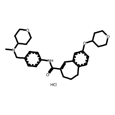 CN(Cc1ccc(NC(=O)C2=Cc3cc(OC4CCOCC4)ccc3CCC2)cc1)C1CCOCC1.Cl